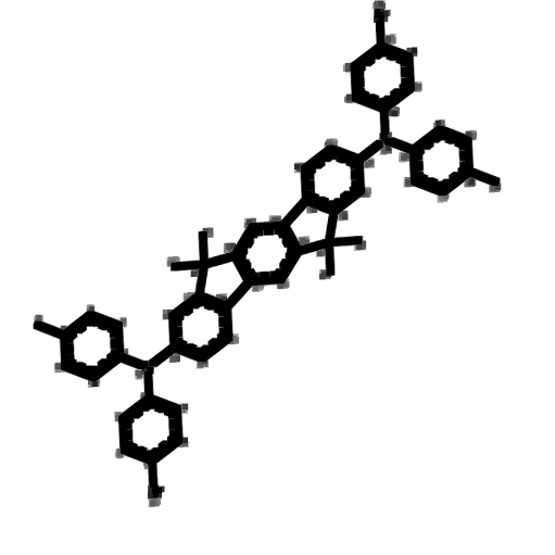 Cc1ccc(N(c2ccc(Br)cc2)c2ccc3c(c2)C(C)(C)c2cc4c(cc2-3)C(C)(C)c2cc(N(c3ccc(C)cc3)c3ccc(Br)cc3)ccc2-4)cc1